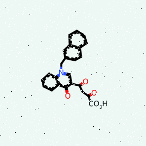 O=C(O)C(=O)CC(=O)c1cn(Cc2ccc3ccccc3c2)c2ccccc2c1=O